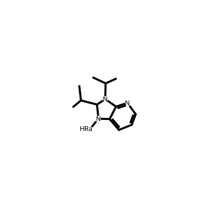 CC(C)C1[N]([RaH])c2cccnc2N1C(C)C